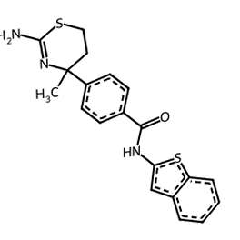 CC1(c2ccc(C(=O)Nc3cc4ccccc4s3)cc2)CCSC(N)=N1